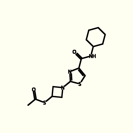 CC(=O)SC1CN(c2nc(C(=O)NC3CCCCC3)cs2)C1